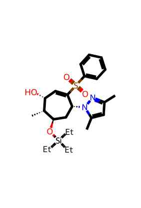 CC[Si](CC)(CC)O[C@@H]1C[C@@H](n2nc(C)cc2C)C(S(=O)(=O)c2ccccc2)=C[C@@H](O)[C@H]1C